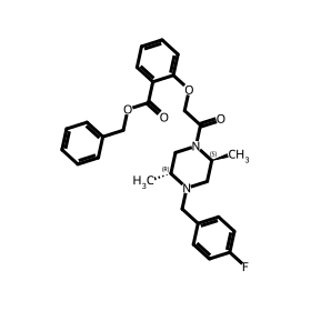 C[C@@H]1CN(C(=O)COc2ccccc2C(=O)OCc2ccccc2)[C@@H](C)CN1Cc1ccc(F)cc1